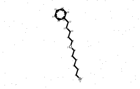 BrCCCCCCOCCCCCc1ccccc1